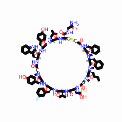 CCCC[C@H]1C(=O)N(C)CC(=O)N[C@@H](CC(O)=P)C(=O)N[C@@H](C(C)C)C(=O)N[C@@H](Cc2cccc(F)c2)C(=O)N[C@@H](Cc2ccc(O)cc2)C(=O)N(C)CC(=O)N[C@@H](Cc2c[nH]c3ccccc23)C(=O)N[C@@H](Cc2ccc(O)cc2)C(=O)N[C@@H](CC(C)C)C(=O)N[C@H](C(=O)NCC(N)=O)CSCC(=O)N[C@@H](Cc2ccccc2)C(=O)N(C)[C@@H](Cc2ccccc2)C(=O)N1C